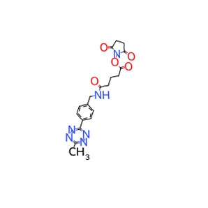 Cc1nnc(-c2ccc(CNC(=O)CCCC(=O)ON3C(=O)CCC3=O)cc2)nn1